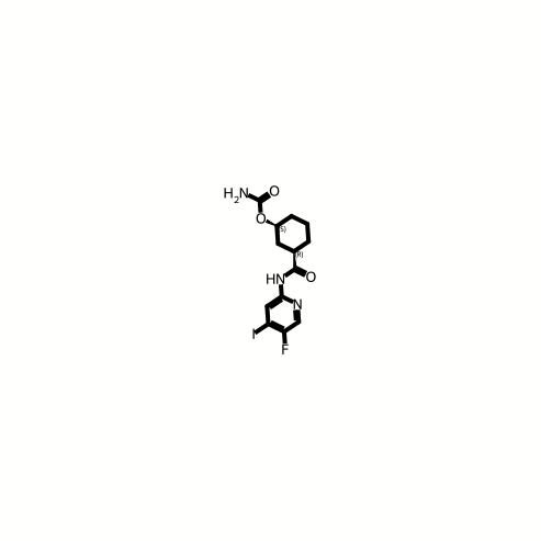 NC(=O)O[C@H]1CCC[C@@H](C(=O)Nc2cc(I)c(F)cn2)C1